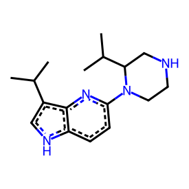 CC(C)c1c[nH]c2ccc(N3CCNCC3C(C)C)nc12